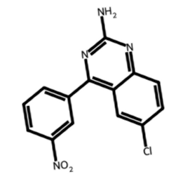 Nc1nc(-c2cccc([N+](=O)[O-])c2)c2cc(Cl)ccc2n1